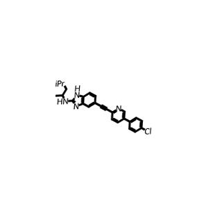 CC(C)CC(C)Nc1nc2cc(C#Cc3ccc(-c4ccc(Cl)cc4)cn3)ccc2[nH]1